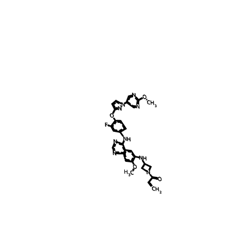 C=CC(=O)N1CC(Nc2cc3c(Nc4ccc(Oc5ccn(-c6cnc(OC)nc6)n5)c(F)c4)ncnc3cc2OC)C1